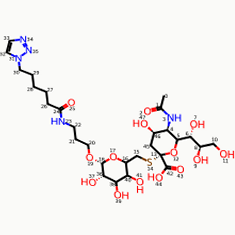 CC(=O)N[C@H]1C([C@H](O)[C@H](O)CO)O[C@@](SCC2O[C@@H](OCCCNC(=O)CCCCCn3ccnn3)[C@@H](O)C(O)C2O)(C(=O)O)C[C@H]1O